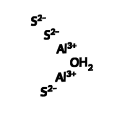 O.[Al+3].[Al+3].[S-2].[S-2].[S-2]